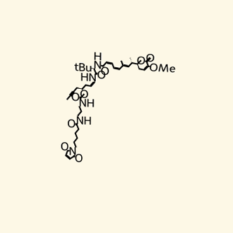 CC#CC[C@@H](C/C=C\NC(=O)[C@@H](NC(=O)\C=C/C=C\C(C)=C\[C@H](C)[C@@H]1CC=C(OC)C(=O)O1)C(C)(C)C)OC(=O)NCCCNC(=O)CCCCCN1C(=O)C=CC1=O